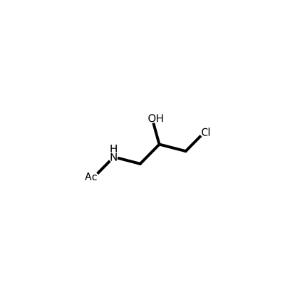 CC(=O)NCC(O)CCl